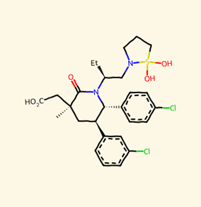 CC[C@@H](CN1CCCS1(O)O)N1C(=O)[C@](C)(CC(=O)O)C[C@H](c2cccc(Cl)c2)[C@H]1c1ccc(Cl)cc1